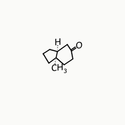 C[C@]12CCC[C@H]1CC(=O)CC2